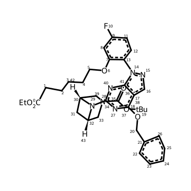 CCOC(=O)CCCCCOc1cc(F)ccc1-n1ncc2c(OCc3ccccc3)nc(N3[C@@H]4C[C@H]3CN(C(=O)OC(C)(C)C)C4)nc21